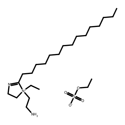 CCCCCCCCCCCCCCCC1=NCC[N+]1(CC)CCN.CCOS(=O)(=O)[O-]